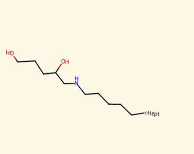 CCCCCCCCCCCCNCC(O)CCCO